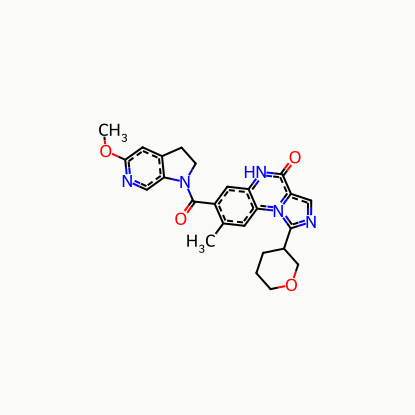 COc1cc2c(cn1)N(C(=O)c1cc3[nH]c(=O)c4cnc(C5CCCOC5)n4c3cc1C)CC2